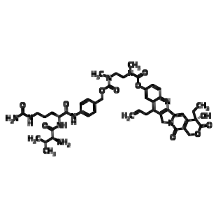 C=CCc1c2c(nc3ccc(OC(=O)N(C)CCN(C)C(=O)OCc4ccc(NC(=O)[C@H](CCCNC(N)=O)NC(=O)[C@@H](N)C(C)C)cc4)cc13)-c1cc3c(c(=O)n1C2)COC(=O)[C@]3(O)CC